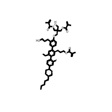 C=C(C)C(=O)OCCCc1cc(-c2ccc(C3CCC(CCCCC)CC3)cc2F)c(CC)cc1-c1ccc(OCC(CO)(COC(=O)C(=C)C)COC(=O)C(=C)C)c(CCCO)c1